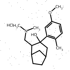 COc1ccc(C)c(C2(O)CC3CCC(C3)C2CN(C)C)c1.Cl